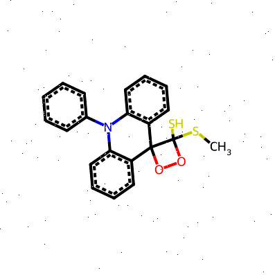 CSC1(S)OOC12c1ccccc1N(c1ccccc1)c1ccccc12